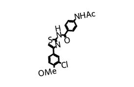 COc1ccc(-c2csc(NC(=O)c3ccc(NC(C)=O)cc3)n2)cc1Cl